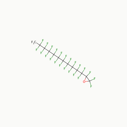 FC(F)(F)C(F)(F)C(F)(F)C(F)(F)C(F)(F)C(F)(F)C(F)(F)C(F)(F)C(F)(F)C(F)(F)C(F)(F)C1(F)OC1(F)F